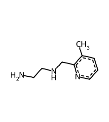 Cc1cccnc1CNCCN